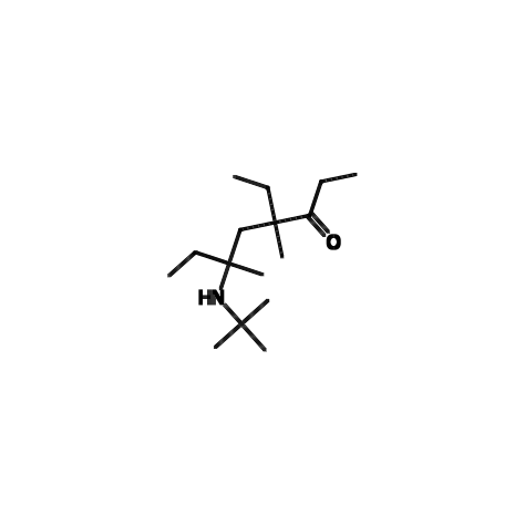 CCC(=O)C(C)(CC)CC(C)(CC)NC(C)(C)C